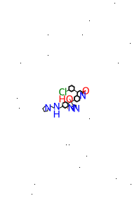 Cn1cncc1C(O)(c1ccc(CNCCN2CCCC2)cc1)c1ccc2c(c1)c(-c1cccc(Cl)c1)cc(=O)n2C